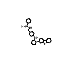 N=C(NCc1ccc(Nc2ccccc2-c2ccc3c(c2)oc2ccccc23)cc1)c1ccccc1